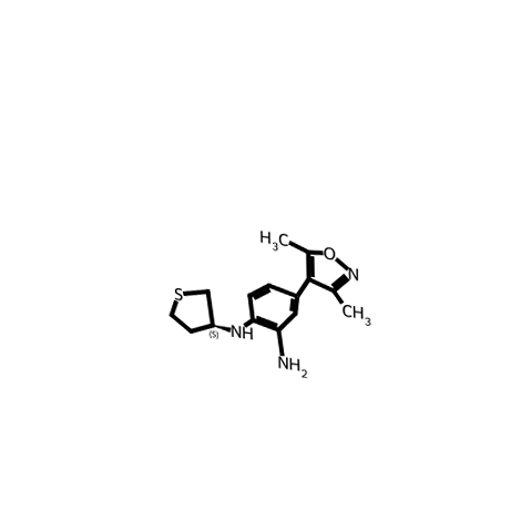 Cc1noc(C)c1-c1ccc(N[C@H]2CCSC2)c(N)c1